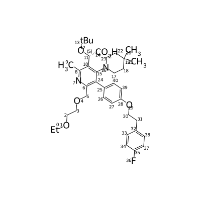 CCOCCOCc1nc(C)c([C@H](OC(C)(C)C)C(=O)O)c(N2CCC(C)(C)CC2)c1-c1ccc(OCCc2ccc(F)cc2)cc1